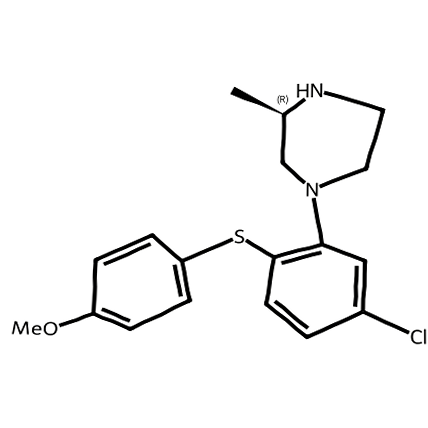 COc1ccc(Sc2ccc(Cl)cc2N2CCN[C@H](C)C2)cc1